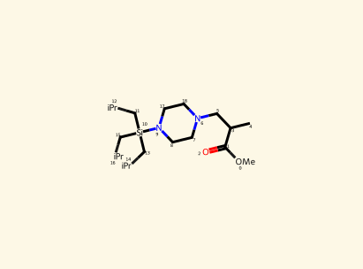 COC(=O)C(C)CN1CCN([Si](CC(C)C)(CC(C)C)CC(C)C)CC1